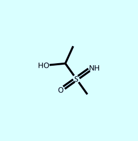 CC(O)S(C)(=N)=O